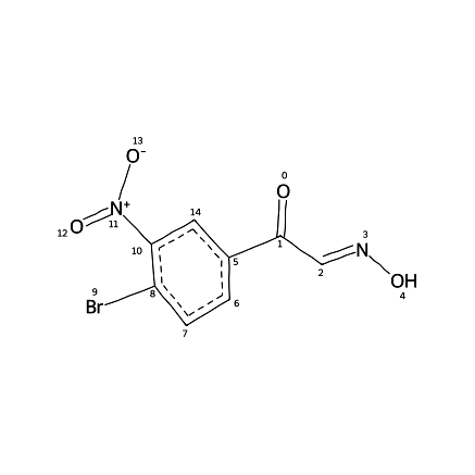 O=C(C=NO)c1ccc(Br)c([N+](=O)[O-])c1